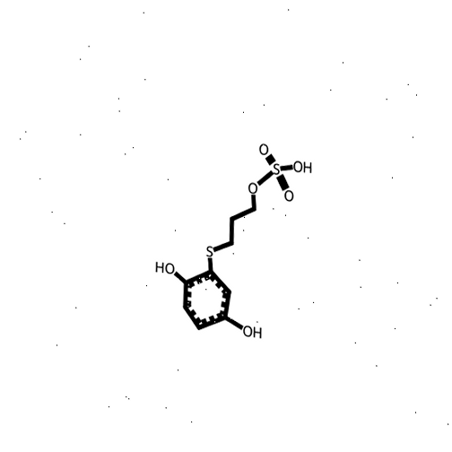 O=S(=O)(O)OCCCSc1cc(O)ccc1O